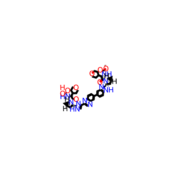 COC(=O)N[C@H](C(=O)N1[C@@H]2C[C@H]2C[C@H]1c1nc2cc(-c3ccc4nc(-c5c[nH]c([C@@H]6C[C@H]7C[C@H]7N6C(=O)[C@@H](NC(=O)O)C6CCOCC6)n5)cnc4c3)ccc2[nH]1)C1CCOCC1